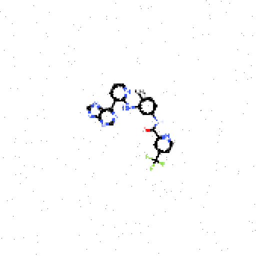 Cc1ccc(NC(=O)c2cc(C(F)(F)F)ccn2)cc1Nc1ncccc1-c1ncnc2[nH]cnc12